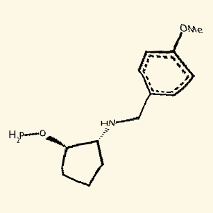 COc1ccc(CN[C@@H]2CCC[C@H]2OP)cc1